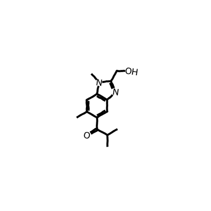 Cc1cc2c(cc1C(=O)C(C)C)nc(CO)n2C